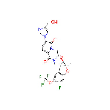 C[C@]12Oc3cc(F)c(OC(F)(F)F)cc3[C@@]1(CN1CCn3c(ccc(-n4cnc(CO)c4)c3=O)C1=O)C2=O